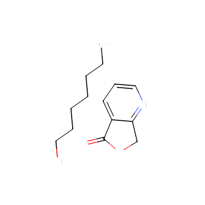 CCCCCCCCCCCCCCCCO.O=C1OCc2ncccc21